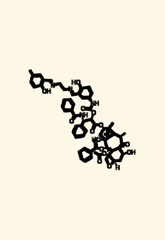 CC(=O)O[C@@]12CO[C@@H]1C[C@H](O)[C@@]1(C)C(=O)[C@H](C)C3=C(C)[C@@H](OC(=O)[C@H](OC(=O)Nc4ccc(O)c(/C=N/CC/N=C/c5cc(C)ccc5O)c4)[C@@H](NC(=O)c4ccccc4)c4ccccc4)C[C@@](O)([C@@H](OC(=O)c4ccccc4)[C@H]21)C3(C)C